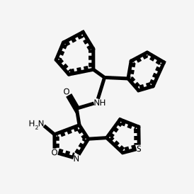 Nc1onc(-c2ccsc2)c1C(=O)NC(c1ccccc1)c1ccccc1